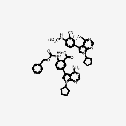 COC(=O)c1cc(-c2cn(C3CCCC3)c3ncnc(N)c23)ccc1NC(=O)OCc1ccccc1.N#Cc1cc(-c2cn(C3CCCC3)c3ncnc([AsH2])c23)ccc1NC(=O)O